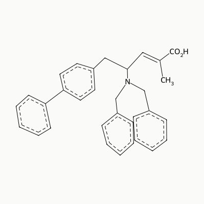 C/C(=C\C(Cc1ccc(-c2ccccc2)cc1)N(Cc1ccccc1)Cc1ccccc1)C(=O)O